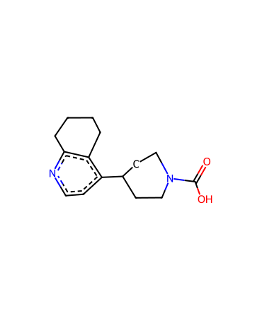 O=C(O)N1CCC(c2ccnc3c2CCCC3)CC1